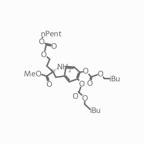 CCCCCOC(=O)OCC[C@@](N)(Cc1ccc(OC(=O)OCC(C)CC)c(OC(=O)OCC(C)CC)c1)C(=O)OC